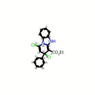 CCOC(=O)C1=C2Nc3ccccc3N2C(Cl)=CC1(Cl)c1ccccc1